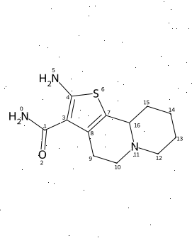 NC(=O)c1c(N)sc2c1CCN1CCCCC21